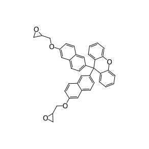 c1ccc2c(c1)Oc1ccccc1C2(c1ccc2cc(OCC3CO3)ccc2c1)c1ccc2cc(OCC3CO3)ccc2c1